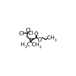 CCCOC(=O)C1C(CC(Cl)(Cl)Cl)C1(C)C